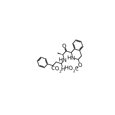 C[C@H](NC(CCc1ccccc1)C(=O)O)C(=O)C1NC(OC(=O)O)Cc2ccccc21